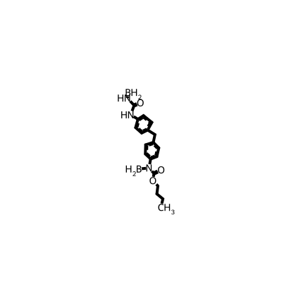 BNC(=O)Nc1ccc(Cc2ccc(N(B)C(=O)OCCCC)cc2)cc1